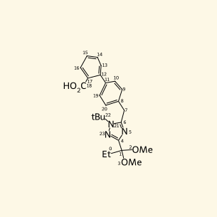 CCC(OC)(OC)c1nc(Cc2ccc(-c3ccccc3C(=O)O)cc2)n(C(C)(C)C)n1